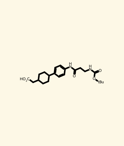 CC(C)(C)OC(=O)NCCC(=O)Nc1ccc(C2CCC(CC(=O)O)CC2)cc1